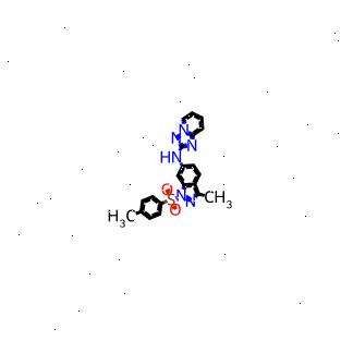 Cc1ccc(S(=O)(=O)n2nc(C)c3ccc(Nc4nc5ccccn5n4)cc32)cc1